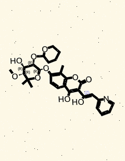 CO[C@@H]1[C@@H](O)[C@@H](OC2CCCCO2)[C@H](Oc2ccc3c(O)c(/C(O)=C/c4ccccn4)c(=O)oc3c2C)OC1(C)C